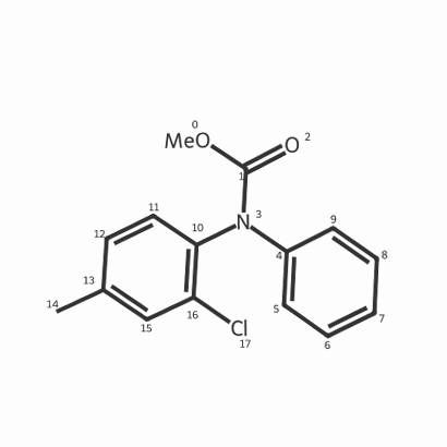 [CH2]OC(=O)N(c1ccccc1)c1ccc(C)cc1Cl